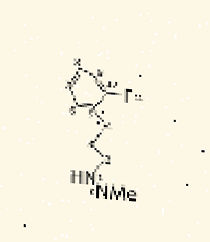 CNNCCCc1ccccc1F